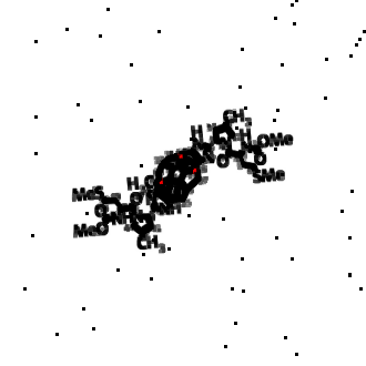 COC(=O)N[C@@H](CCSC)C(=O)N1CC(C)=C[C@H]1c1nc2cc(-c3cc4ccc3CCc3ccc(c(-c5ccc6[nH]c([C@@H]7C=C(C)CN7C(=O)[C@H](CCSC)NC(=O)OC)nc6c5)c3)C[C@H]4C)ccc2[nH]1